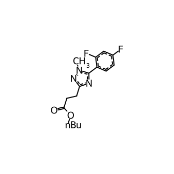 CCCCOC(=O)CCc1nc(-c2ccc(F)cc2F)n(C)n1